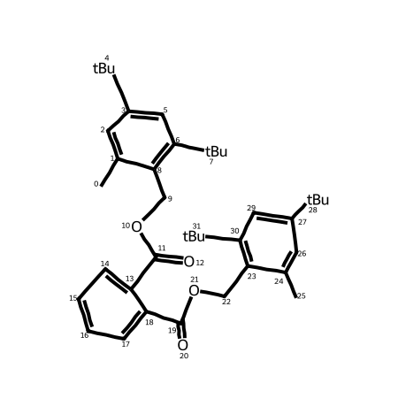 Cc1cc(C(C)(C)C)cc(C(C)(C)C)c1COC(=O)c1ccccc1C(=O)OCc1c(C)cc(C(C)(C)C)cc1C(C)(C)C